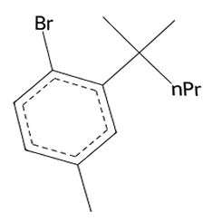 CCCC(C)(C)c1cc(C)ccc1Br